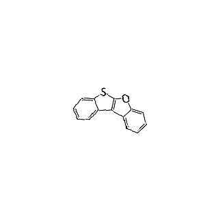 c1ccc2c(c1)oc1sc3ccccc3c12